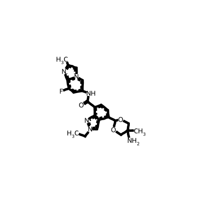 CCn1cc2c(C3OCC(C)(N)CO3)ccc(C(=O)Nc3cc(F)c4nc(C)cn4c3)c2n1